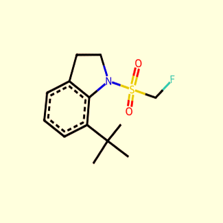 CC(C)(C)c1cccc2c1N(S(=O)(=O)CF)CC2